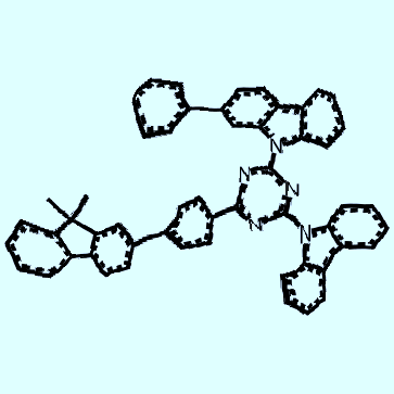 CC1(C)c2ccccc2-c2ccc(-c3ccc(-c4nc(-n5c6ccccc6c6ccccc65)nc(-n5c6ccccc6c6ccc(-c7ccccc7)cc65)n4)cc3)cc21